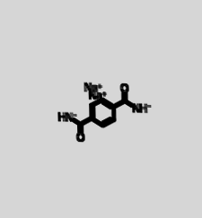 [NH-]C(=O)c1ccc(C([NH-])=O)cc1.[Na+].[Na+]